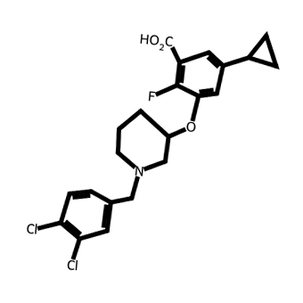 O=C(O)c1cc(C2CC2)cc(OC2CCCN(Cc3ccc(Cl)c(Cl)c3)C2)c1F